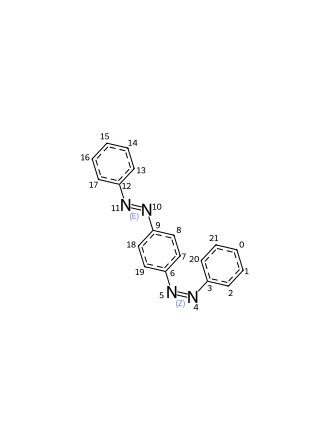 c1ccc(/N=N\c2ccc(/N=N/c3ccccc3)cc2)cc1